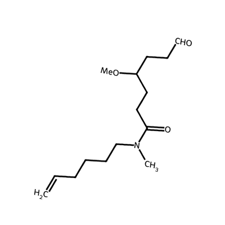 C=CCCCCN(C)C(=O)CCC(CCC=O)OC